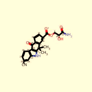 CC1(C)c2cc(C(=O)OC[C@@H](O)C(N)=O)ccc2C(=O)c2c1[nH]c1cc(C#N)ccc21